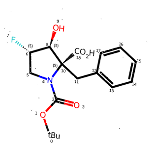 CC(C)(C)OC(=O)N1C[C@H](F)[C@@H](O)[C@@]1(Cc1ccccc1)C(=O)O